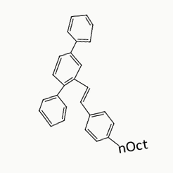 CCCCCCCCc1ccc(C=Cc2cc(-c3ccccc3)ccc2-c2ccccc2)cc1